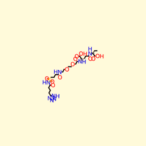 CC[C@H](NC(=O)CC[C@H](NC(=O)COCCOCCNC(=O)CCCS(=O)(=O)NC(=O)CCCc1nnn[nH]1)C(=O)O)C(=O)O